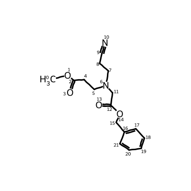 COC(=O)CCN(CCC#N)CC(=O)OCc1ccccc1